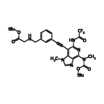 CN(C(=O)OC(C)(C)C)c1nc(NC(=O)C(F)(F)F)c(C#Cc2cccc(CNCC(=O)OC(C)(C)C)c2)c2c1ncn2C